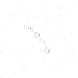 C(=N\N1CCCCC1)/c1ccc(CNCCCn2ccnc2)cc1